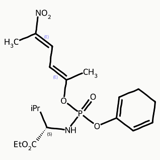 CCOC(=O)[C@@H](NP(=O)(OC1=CCCC=C1)O/C(C)=C/C=C(\C)[N+](=O)[O-])C(C)C